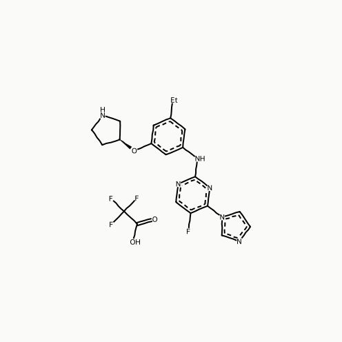 CCc1cc(Nc2ncc(F)c(-n3ccnc3)n2)cc(O[C@H]2CCNC2)c1.O=C(O)C(F)(F)F